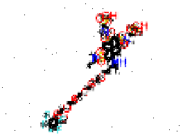 CCCN(C)S(=O)(=O)c1cc(NC(C)CCCOCCOCCOCCOCCOCC(=O)Oc2c(F)c(F)c(F)c(F)c2F)c2ccc3c(S(=O)(=O)N(C)CCS(=O)(=O)O)cc(S(=O)(=O)N(C)CCS(=O)(=O)O)c4ccc1c2c34